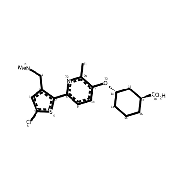 CNCc1cc(Cl)sc1-c1ccc(O[C@H]2CCC[C@H](C(=O)O)C2)c(C)n1